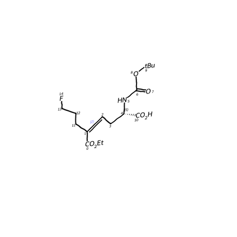 CCOC(=O)/C(=C\C[C@H](NC(=O)OC(C)(C)C)C(=O)O)CCCF